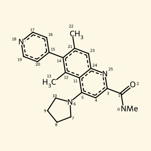 CNC(=O)c1cc(N2CCCC2)c2c(C)c(-c3ccncc3)c(C)cc2n1